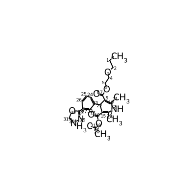 CCCOCCOC(=O)C1=C(C)NC(C)=C(C(=O)OC(C)C)C1c1cccc(-c2nnco2)c1